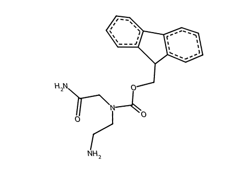 NCCN(CC(N)=O)C(=O)OCC1c2ccccc2-c2ccccc21